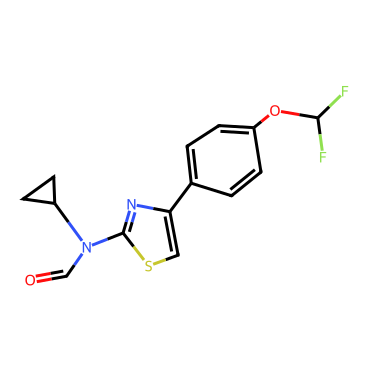 O=CN(c1nc(-c2ccc(OC(F)F)cc2)cs1)C1CC1